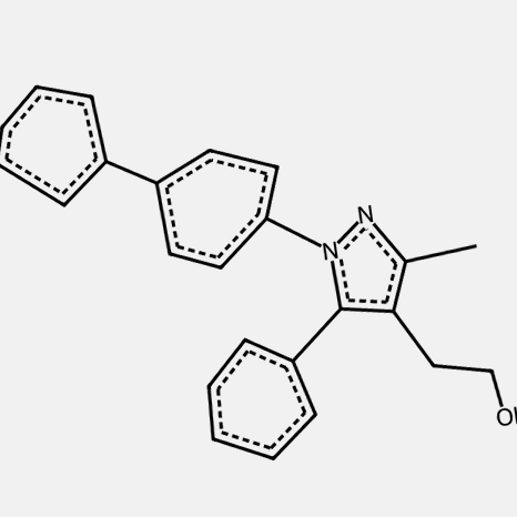 Cc1nn(-c2ccc(-c3ccccc3)cc2)c(-c2ccccc2)c1CCO